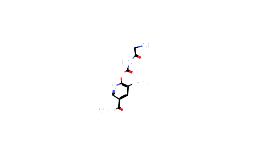 COC(=O)c1cnc(OC(=O)NC(=O)CN)c(OCC(C)C)c1